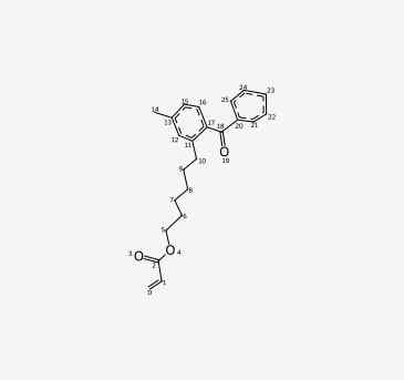 C=CC(=O)OCCCCCCc1cc(C)ccc1C(=O)c1ccccc1